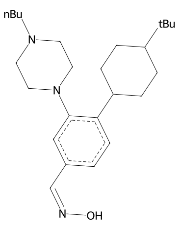 CCCCN1CCN(c2cc(/C=N\O)ccc2C2CCC(C(C)(C)C)CC2)CC1